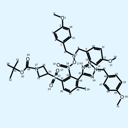 COc1ccc(CN(Cc2ccc(OC)cc2)OS(=O)c2c(S(=O)(=O)C3CN(C(=O)OC(C)(C)C)C3)ccc(I)c2-c2nnn(Cc3ccc(OC)cc3)n2)cc1